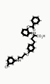 O=C(Oc1ccccc1NC(CCc1ccc(OCCCNc2cccc(Cl)c2)cc1)C(=O)O)c1ccccc1